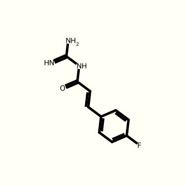 N=C(N)NC(=O)C=Cc1ccc(F)cc1